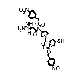 N=C(N)NCC(=O)N(C(=O)OCc1ccc([N+](=O)[O-])cc1)[C@H]1CCN(C(=O)[C@@H]2C[C@H](S)CN2C(=O)OCc2ccc([N+](=O)[O-])cc2)C1